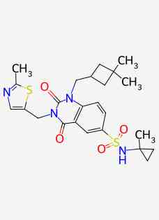 Cc1ncc(Cn2c(=O)c3cc(S(=O)(=O)NC4(C)CC4)ccc3n(CC3CC(C)(C)C3)c2=O)s1